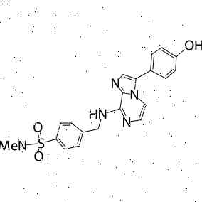 CNS(=O)(=O)c1ccc(CNc2nccn3c(-c4ccc(O)cc4)cnc23)cc1